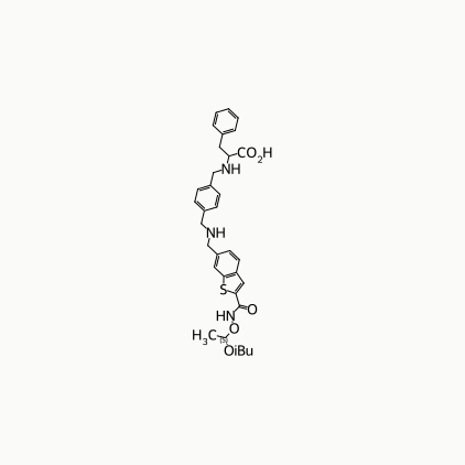 CC(C)CO[C@H](C)ONC(=O)c1cc2ccc(CNCc3ccc(CNC(Cc4ccccc4)C(=O)O)cc3)cc2s1